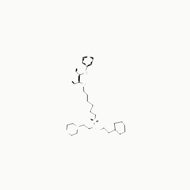 O=C/C(NCCCCCCS(=O)(=O)N(CCN1CCOCC1)OCCC1CCCCC1)=C(\C=O)Nc1ccncc1